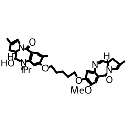 COc1cc2c(cc1OCCCCCOc1cc3c(cc1C)C(=O)N1C=C(C)C[C@H]1C(O)N3C(C)C)N=C[C@@H]1CC(C)=CN1C2=O